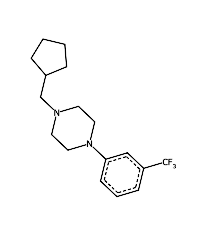 FC(F)(F)c1cccc(N2CCN(CC3CCCC3)CC2)c1